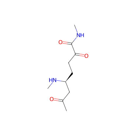 CNC(=O)C(=O)CC[C@@H](CC(C)=O)NC